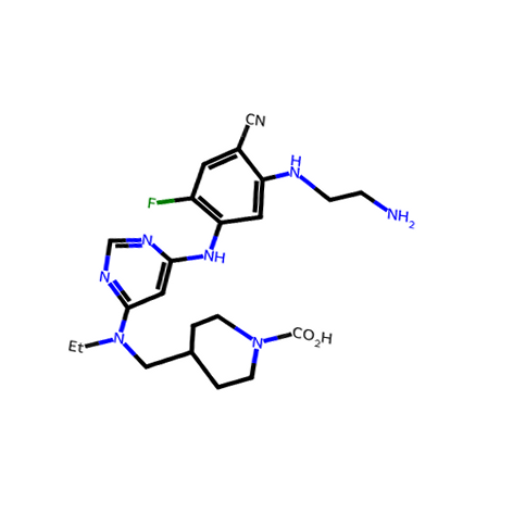 CCN(CC1CCN(C(=O)O)CC1)c1cc(Nc2cc(NCCN)c(C#N)cc2F)ncn1